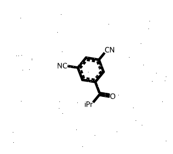 CC(C)C(=O)c1cc(C#N)cc(C#N)c1